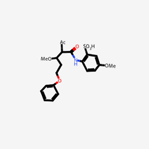 COc1ccc(NC(=O)C(C(C)=O)C(CCOc2ccccc2)OC)c(S(=O)(=O)O)c1